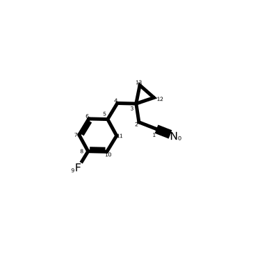 N#CCC1(CC2C=CC(F)=CC2)CC1